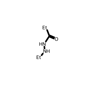 [CH2]CC(=O)NNCC